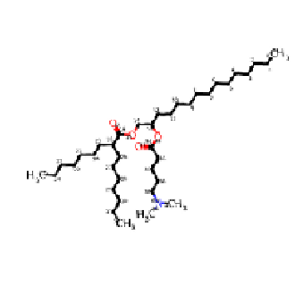 CCCCCCCCCCCCCC(COC(=O)C(CCCCCCC)CCCCCCC)OC(=O)CCCCN(C)C